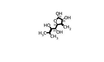 C=C1[C@@H](O)[C@@H](O)O[C@@H]1[C@H](O)C(O)=C(C)C